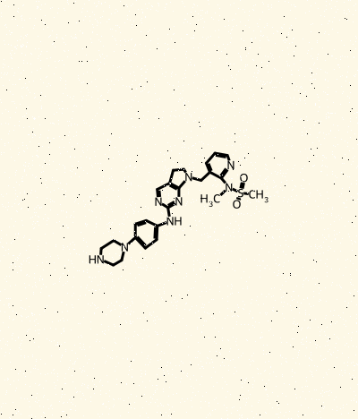 CN(c1ncccc1CN1CCc2cnc(Nc3ccc(N4CCNCC4)cc3)nc21)S(C)(=O)=O